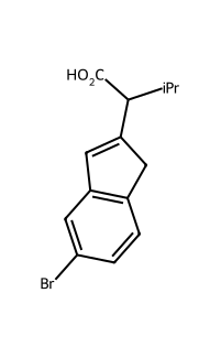 CC(C)C(C(=O)O)C1=Cc2cc(Br)ccc2C1